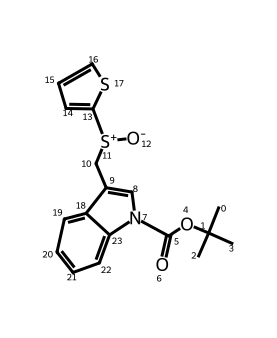 CC(C)(C)OC(=O)n1cc(C[S+]([O-])c2cccs2)c2ccccc21